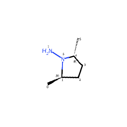 C[C@@H]1CC[C@@H](C)N1N